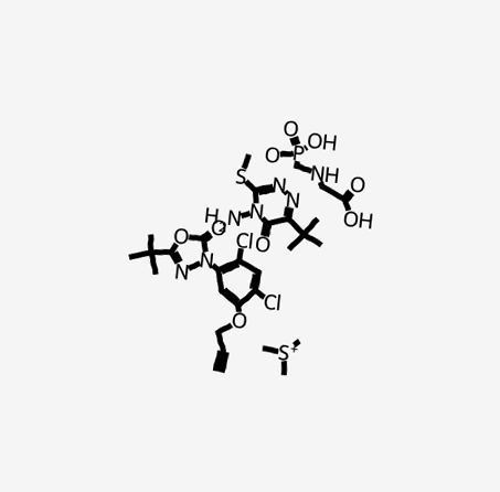 C#CCOc1cc(-n2nc(C(C)(C)C)oc2=O)c(Cl)cc1Cl.CSc1nnc(C(C)(C)C)c(=O)n1N.C[S+](C)C.O=C(O)CNCP(=O)([O-])O